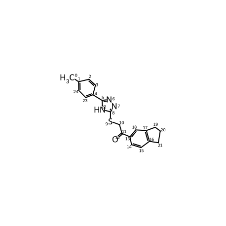 Cc1ccc(-c2nnc(SCC(=O)c3ccc4c(c3)CCC4)[nH]2)cc1